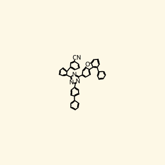 N#Cc1cccc(-c2ccccc2-c2nc(-c3ccc(-c4ccccc4)cc3)nc(-c3ccc4c(c3)oc3cccc(-c5ccccc5)c34)n2)c1